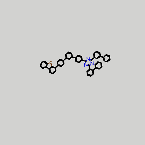 c1ccc(-c2cccc(-c3nc(-c4ccc(-c5cccc(-c6ccc(-c7cccc8c7sc7ccccc78)cc6)c5)cc4)nc(-c4ccccc4-c4ccccc4)n3)c2)cc1